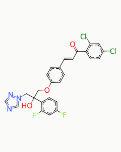 O=C(C=Cc1ccc(OCC(O)(Cn2cncn2)c2ccc(F)cc2F)cc1)c1ccc(Cl)cc1Cl